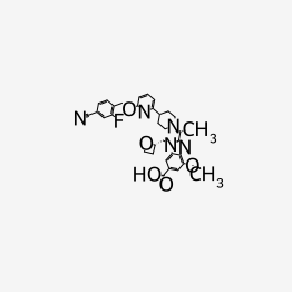 COc1cc(C(=O)O)cc2c1nc([C@@H](C)N1CCC(c3cccc(OCc4ccc(C#N)cc4F)n3)CC1)n2C[C@@H]1CCO1